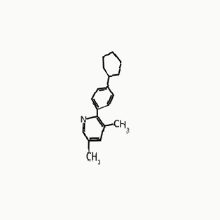 Cc1cnc(-c2ccc(C3CCCCC3)cc2)c(C)c1